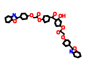 O=C(COc1ccc(-c2nc3ccccc3o2)cc1)Oc1ccc(C(=O)c2ccc(OC(=O)COc3ccc(-c4nc5ccccc5o4)cc3)cc2O)cc1